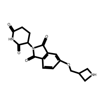 O=C1CCC(N2C(=O)c3ccc(OCC4CNC4)cc3C2=O)C(=O)N1